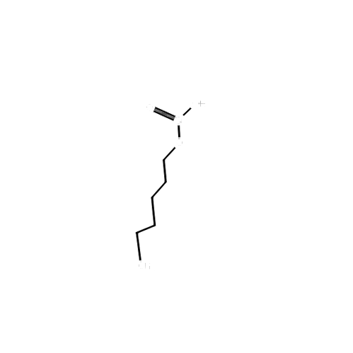 CCCCCCO[Si](=O)O